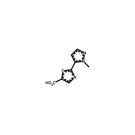 Cn1nccc1-c1ncc(C(=O)O)o1